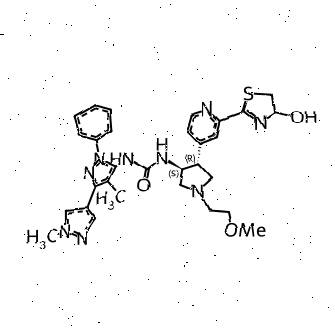 COCCN1C[C@@H](NC(=O)Nc2c(C)c(-c3cnn(C)c3)nn2-c2ccccc2)[C@H](c2ccnc(C3=NC(O)CS3)c2)C1